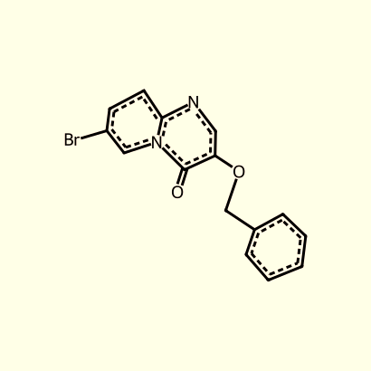 O=c1c(OCc2ccccc2)cnc2ccc(Br)cn12